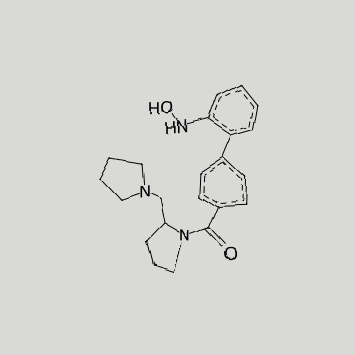 O=C(c1ccc(-c2ccccc2NO)cc1)N1CCCC1CN1CCCC1